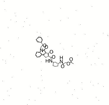 COC1=C(C(=O)NC2CCCC(NC(=O)COC(C)=O)C2)Cc2c1c(=O)n(CC(=O)c1ccccc1)c1ccccc21